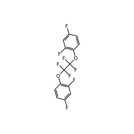 Fc1ccc(OC(F)(F)C(F)(F)Oc2ccc(F)cc2F)c(F)c1